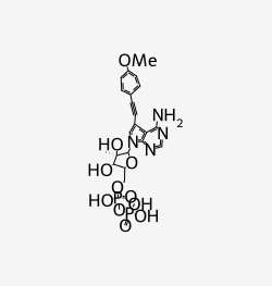 COc1ccc(C#Cc2cn(C3OC(COP(=O)(O)OP(=O)(O)O)C(O)[C@@]3(C)O)c3ncnc(N)c23)cc1